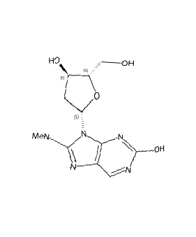 CNc1nc2cnc(O)nc2n1[C@@H]1C[C@@H](O)[C@H](CO)O1